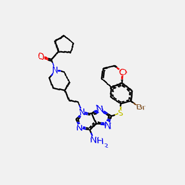 Nc1ncn(CCC2CCN(C(=O)C3CCCC3)CC2)c2nc(Sc3cc4c(cc3Br)OCC=C4)nc1-2